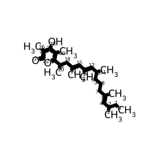 CCC(C)/C=C(\C)CCCC(C)/C=C(C)/C=C(\C)CC(C)c1oc(=O)c(C)c(O)c1C